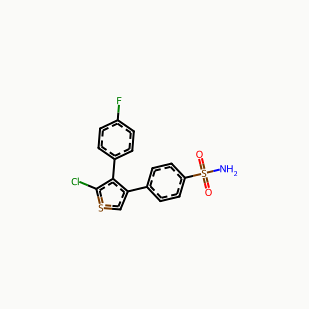 NS(=O)(=O)c1ccc(-c2csc(Cl)c2-c2ccc(F)cc2)cc1